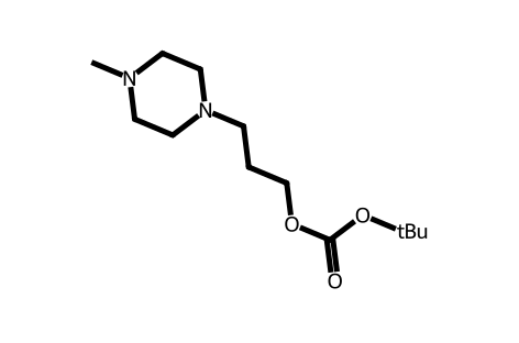 CN1CCN(CCCOC(=O)OC(C)(C)C)CC1